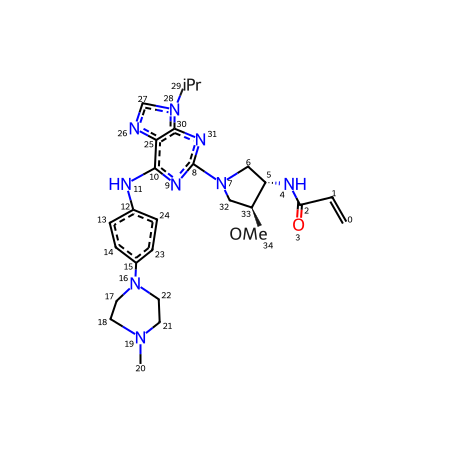 C=CC(=O)N[C@H]1CN(c2nc(Nc3ccc(N4CCN(C)CC4)cc3)c3ncn(C(C)C)c3n2)C[C@@H]1OC